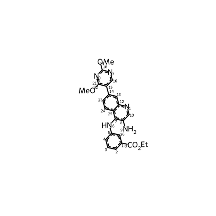 CCOC(=O)c1cccc(Nc2c(N)cnc3cc(-c4cnc(OC)nc4OC)ccc23)c1